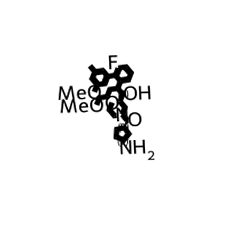 COCCCC(c1cccc(F)c1-c1cc(C)cc(OC)c1)[C@@H](O)C1CN(C(=O)[C@@H]2CC[C@H](N)C2)CCO1